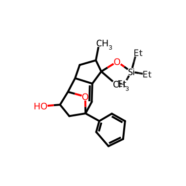 CC[Si](CC)(CC)OC1(C)C2=CC3(c4ccccc4)CC(O)C(O3)C2CC1C